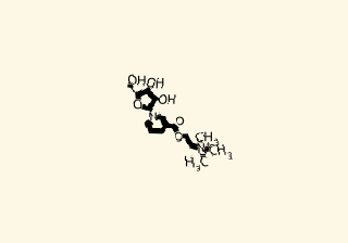 C[N+](C)(C)CCOC(=O)c1ccc[n+]([C@@H]2O[C@H](CO)[C@@H](O)[C@H]2O)c1